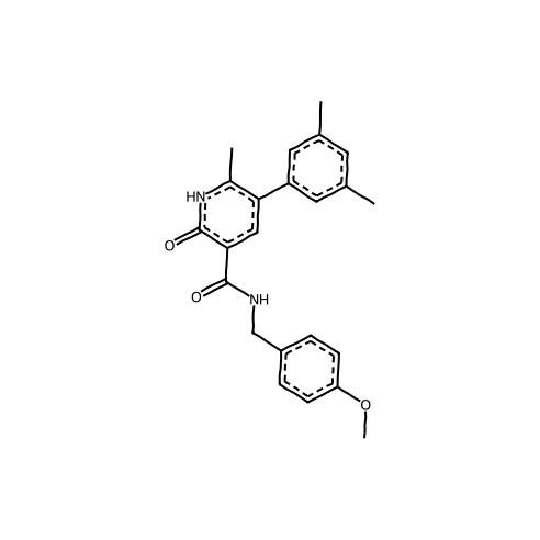 COc1ccc(CNC(=O)c2cc(-c3cc(C)cc(C)c3)c(C)[nH]c2=O)cc1